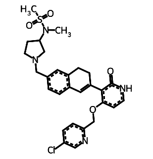 CN(C1CCN(Cc2ccc3c(c2)CCC(c2c(OCc4ccc(Cl)cn4)cc[nH]c2=O)=C3)C1)S(C)(=O)=O